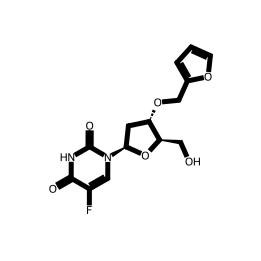 O=c1[nH]c(=O)n([C@H]2C[C@H](OCc3ccco3)[C@@H](CO)O2)cc1F